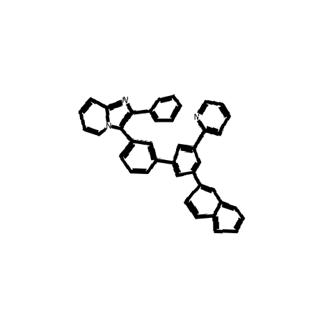 c1ccc(-c2nc3ccccn3c2-c2cccc(-c3cc(-c4ccc5ccccc5c4)cc(-c4ccccn4)c3)c2)cc1